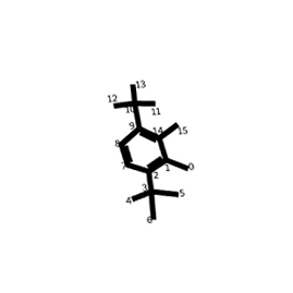 Cc1c(C(C)(C)C)ccc(C(C)(C)C)c1C